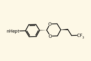 CCCCCCCc1ccc([C@H]2OC[C@H](CCC(F)(F)F)CO2)cc1